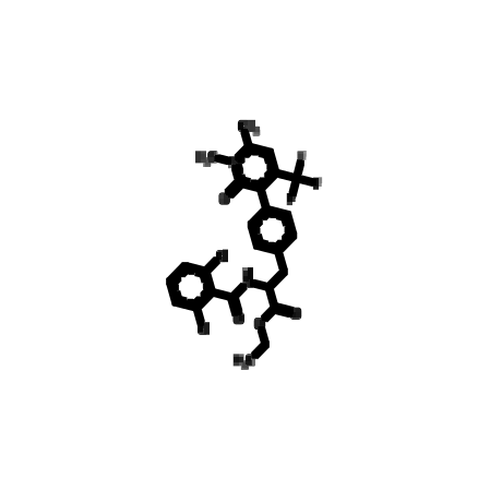 CCOC(=O)C(Cc1ccc(-c2c(C(F)(F)F)cc(C)n(C)c2=O)cc1)NC(=O)c1c(Cl)cccc1Cl